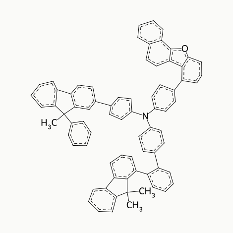 CC1(C)c2ccccc2-c2cccc(-c3ccccc3-c3ccc(N(c4ccc(-c5ccc6c(c5)C(C)(c5ccccc5)c5ccccc5-6)cc4)c4ccc(-c5cccc6oc7c8ccccc8ccc7c56)cc4)cc3)c21